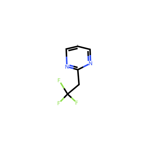 FC(F)(F)Cc1nc[c]cn1